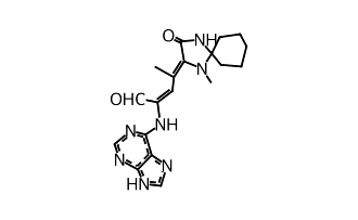 CC(/C=C(\C=O)Nc1ncnc2[nH]cnc12)=C1\C(=O)NC2(CCCCC2)N1C